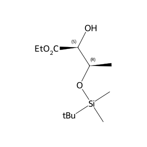 CCOC(=O)[C@@H](O)[C@@H](C)O[Si](C)(C)C(C)(C)C